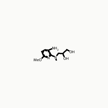 COc1ccc(N)c(N(C)CC(O)CO)n1